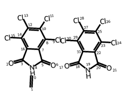 C=C.O=C1NC(=O)c2c(Cl)c(Cl)c(Cl)c(Cl)c21.O=C1NC(=O)c2c(Cl)c(Cl)c(Cl)c(Cl)c21